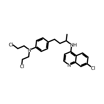 CC(CCc1ccc(N(CCCl)CCCl)cc1)Nc1ccnc2cc(Cl)ccc12